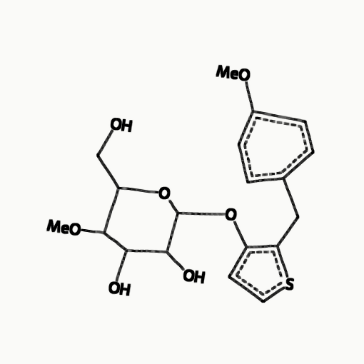 COc1ccc(Cc2sccc2OC2OC(CO)C(OC)C(O)C2O)cc1